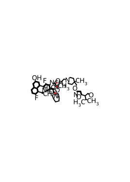 C#Cc1c(F)ccc2cc(O)cc(-c3ncc4c(N5CC6CCC(C5)N6C(=O)OC(C)(C)C)nc(OCCN5CCC(C)(COc6cc(C(C=O)C(C)C)on6)CC5)nc4c3F)c12